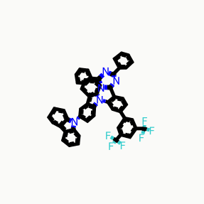 FC(F)(F)c1cc(-c2ccc(-c3nc(-c4ccccc4)nc(-c4ccccc4)n3)c(-n3c4ccccc4c4cc(-n5c6ccccc6c6ccccc65)ccc43)c2)cc(C(F)(F)F)c1